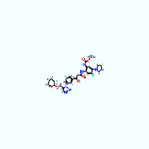 CC(C)(C)OC(=O)Nc1cc(N2CCCC2)c(F)cc1NC(=O)CC(=O)c1cccc(-n2nncc2COC2CCCCO2)c1